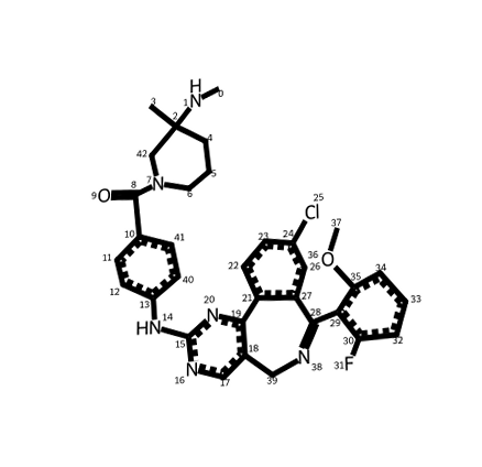 CNC1(C)CCCN(C(=O)c2ccc(Nc3ncc4c(n3)-c3ccc(Cl)cc3C(c3c(F)cccc3OC)=NC4)cc2)C1